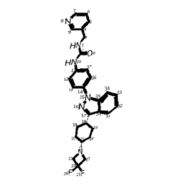 O=C(NCc1cccnc1)Nc1ccc(-n2nc([C@H]3CC[C@@H](N4CC(F)(F)C4)CC3)c3ccccc32)cc1